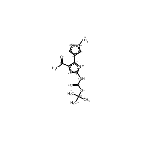 CC(=O)c1sc(NC(=O)OC(C)(C)C)nc1-c1cnn(C)c1